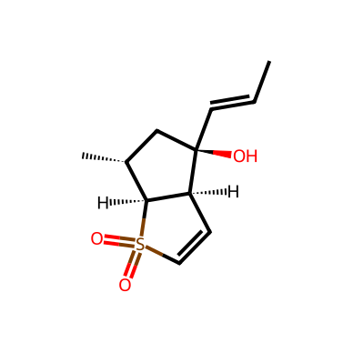 C/C=C/[C@@]1(O)C[C@@H](C)[C@H]2[C@@H]1C=CS2(=O)=O